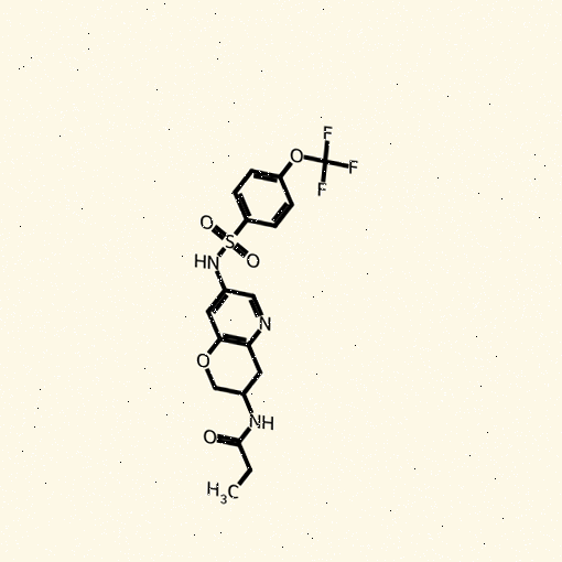 CCC(=O)NC1COc2cc(NS(=O)(=O)c3ccc(OC(F)(F)F)cc3)cnc2C1